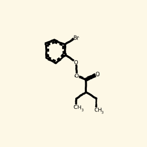 CCC(CC)C(=O)OOc1ccccc1Br